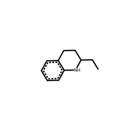 CCC1CCc2ccccc2N1